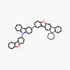 c1ccc2c(c1)-c1cc3oc4ccc(-c5ccc6c(c5)c5ccccc5n6-c5ccc6oc7ccccc7c6c5)cc4c3cc1C21CCCCC1